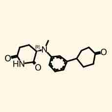 CN(c1cccc(C2CCC(=O)CC2)c1)[C@@H]1CCC(=O)NC1=O